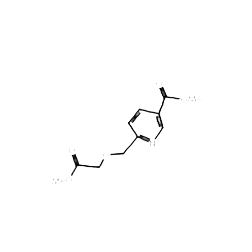 COC(=O)COCc1ccc(C(=O)OC)cn1